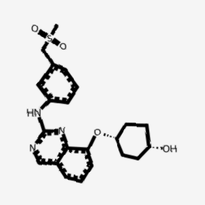 CS(=O)(=O)Cc1cccc(Nc2ncc3cccc(O[C@H]4CC[C@@H](O)CC4)c3n2)c1